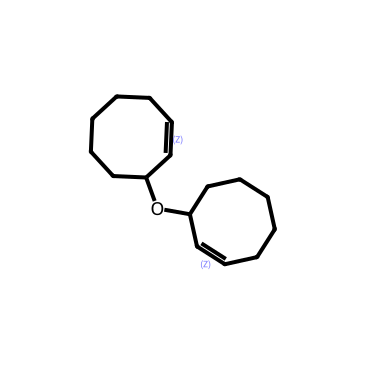 C1=C\C(OC2/C=C\CCCCC2)CCCCC/1